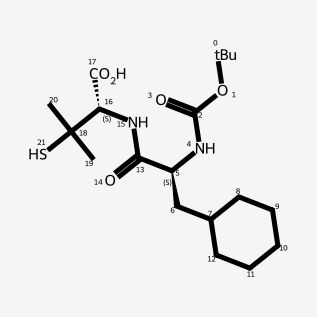 CC(C)(C)OC(=O)N[C@@H](CC1CCCCC1)C(=O)N[C@@H](C(=O)O)C(C)(C)S